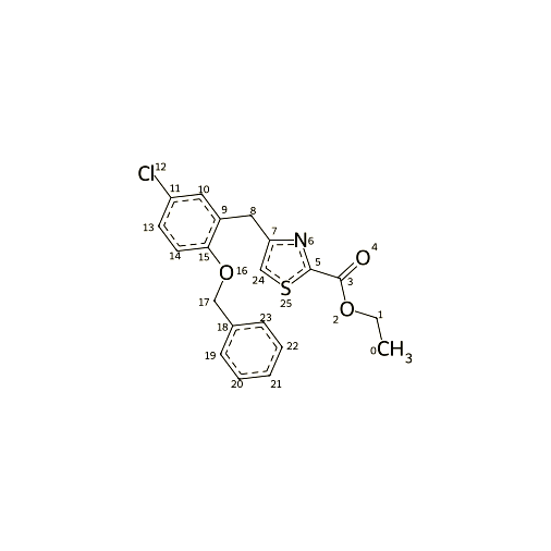 CCOC(=O)c1nc(Cc2cc(Cl)ccc2OCc2ccccc2)cs1